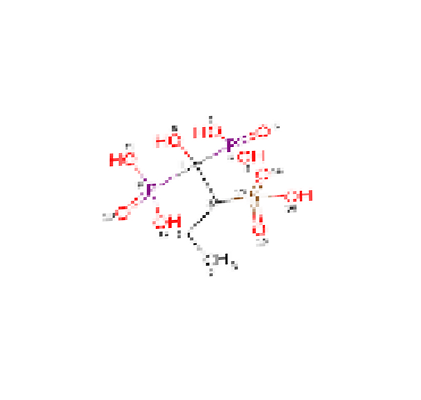 CCC(C(O)(P(=O)(O)O)P(=O)(O)O)S(=O)(=O)O